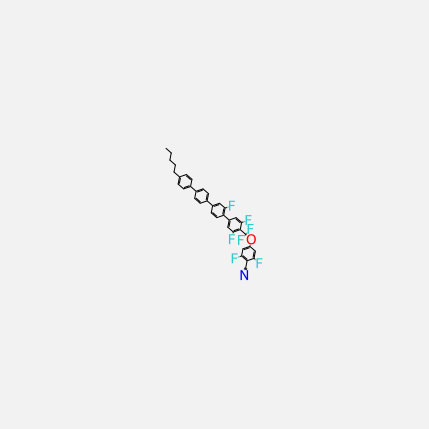 CCCCCc1ccc(-c2ccc(-c3ccc(-c4cc(F)c(C(F)(F)Oc5cc(F)c(C#N)c(F)c5)c(F)c4)c(F)c3)cc2)cc1